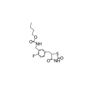 CCCCOC(=O)NCc1cc(CC2SC(=O)NC2=O)ccc1F